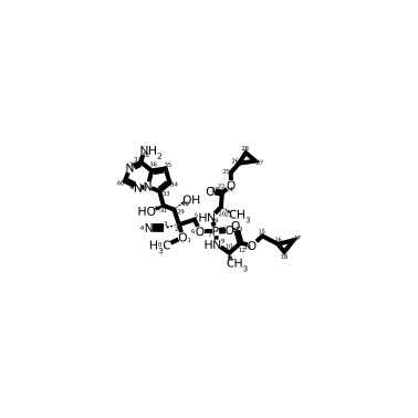 CO[C@](C#N)(COP(=O)(N[C@@H](C)C(=O)OCC1CC1)N[C@@H](C)C(=O)OCC1CC1)[C@@H](O)[C@@H](O)c1ccc2c(N)ncnn12